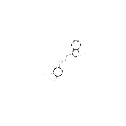 Cc1c(NCCc2c[nH]c3ccccc23)ccc([N+](=O)[O-])c1C